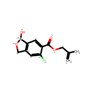 C=C(C)COC(=O)c1cc2c(cc1Cl)COB2O